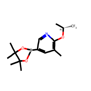 Cc1cc(B2OC(C)(C)C(C)(C)O2)cnc1O[C@H](C)C(F)(F)F